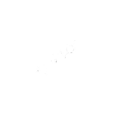 Fc1cc2[nH]c3c(c2cc1F)CCC/C3=N\CCC1CCOCC1